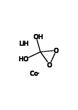 OC1(O)OO1.[Co].[LiH]